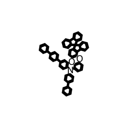 c1ccc(-c2ccc(-c3ccc(N(c4ccc(-c5ccccc5)cc4)c4cccc5c4Oc4ccc6c(c4O5)-c4ccccc4C64c5ccccc5-c5ccccc54)cc3)cc2)cc1